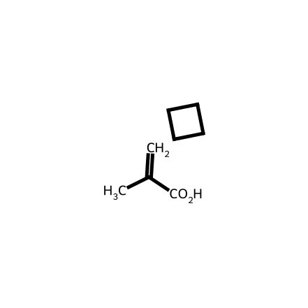 C1CCC1.C=C(C)C(=O)O